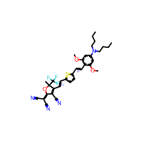 CCCCN(CCCC)c1cc(OC)c(/C=C/c2ccc(/C=C/C3=C(C#N)C(=C(C#N)C#N)OC3(C)C(F)(F)F)s2)c(OC)c1